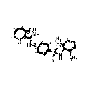 Cc1cccc(C)c1NS(=O)(=O)c1ccc(Nc2n[nH]c3cccnc23)cc1